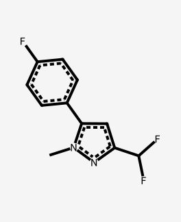 Cn1nc(C(F)F)cc1-c1ccc(F)cc1